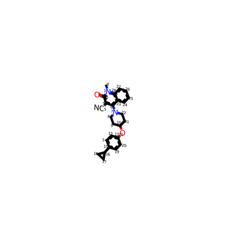 Cn1c(=O)c(C#N)c(N2CCC(Oc3ccc(C4CC4)cc3)CC2)c2ccccc21